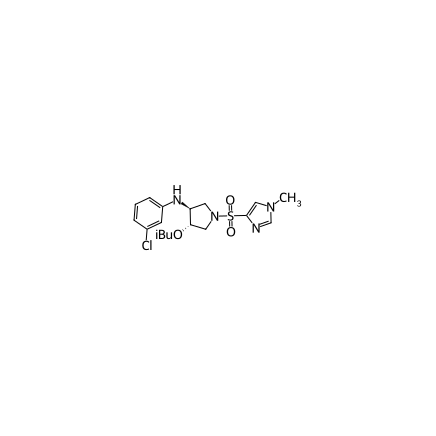 CC(C)CO[C@H]1CN(S(=O)(=O)c2cn(C)cn2)C[C@@H]1Nc1cccc(Cl)c1